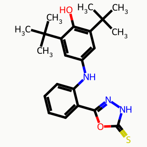 CC(C)(C)c1cc(Nc2ccccc2-c2n[nH]c(=S)o2)cc(C(C)(C)C)c1O